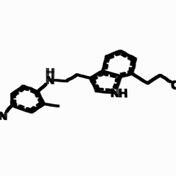 Cc1cc(N)ccc1NCCc1c[nH]c2c(CCO)cccc12